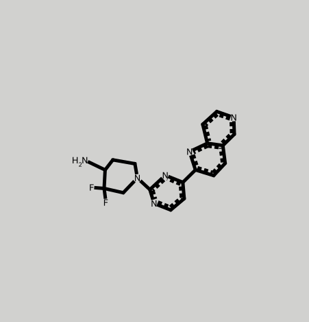 NC1CCN(c2nccc(-c3ccc4cnccc4n3)n2)CC1(F)F